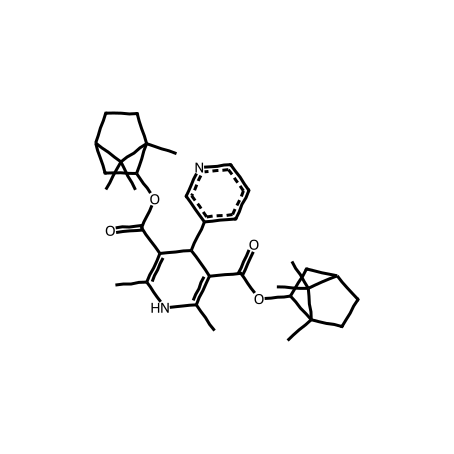 CC1=C(C(=O)OC2CC3CCC2(C)C3(C)C)C(c2cccnc2)C(C(=O)OC2CC3CCC2(C)C3(C)C)=C(C)N1